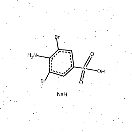 Nc1c(Br)cc(S(=O)(=O)O)cc1Br.[NaH]